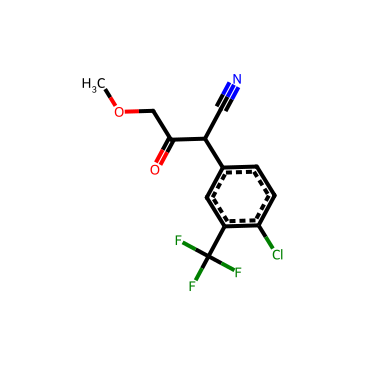 COCC(=O)C(C#N)c1ccc(Cl)c(C(F)(F)F)c1